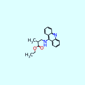 CCOC(=O)C(C)CNc1c2ccccc2nc2ccccc12